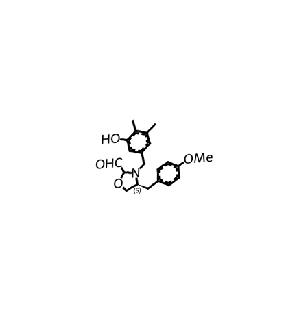 COc1ccc(C[C@H]2COC(C=O)N2Cc2cc(C)c(C)c(O)c2)cc1